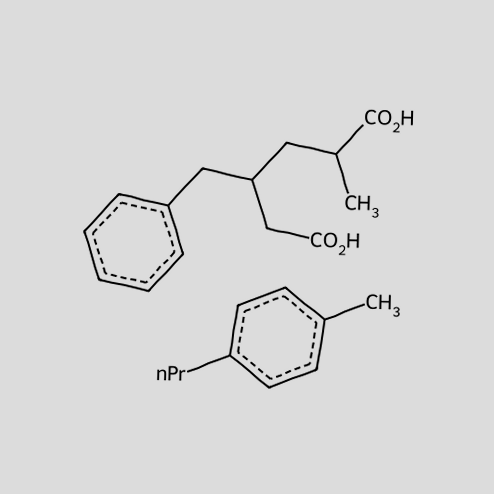 CC(CC(CC(=O)O)Cc1ccccc1)C(=O)O.CCCc1ccc(C)cc1